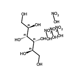 O=[N+]([O-])O.O=[N+]([O-])O.O=[N+]([O-])O.O=[N+]([O-])O.OC[C@@H](O)[C@@H](O)[C@H](O)[C@H](O)CO